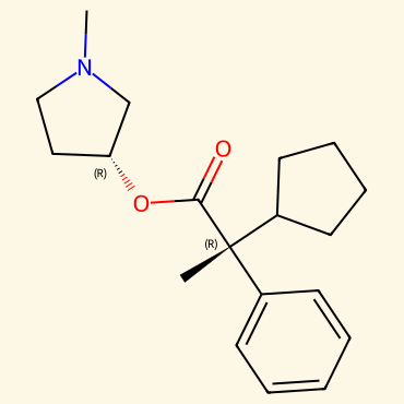 CN1CC[C@@H](OC(=O)[C@@](C)(c2ccccc2)C2CCCC2)C1